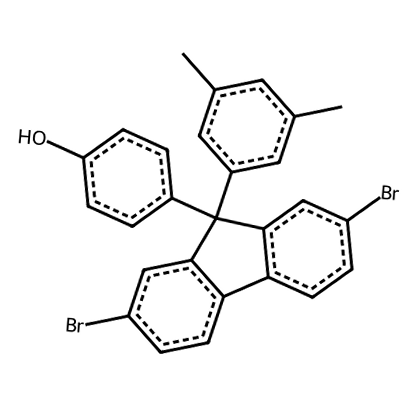 Cc1cc(C)cc(C2(c3ccc(O)cc3)c3cc(Br)ccc3-c3ccc(Br)cc32)c1